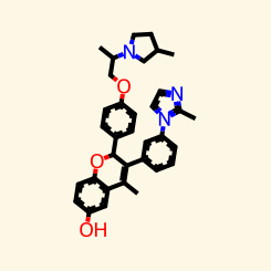 CC1=C(c2cccc(-n3ccnc3C)c2)C(c2ccc(OCC(C)N3CCC(C)C3)cc2)Oc2ccc(O)cc21